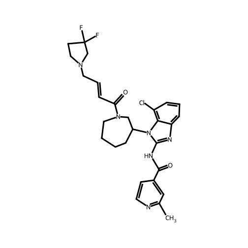 Cc1cc(C(=O)Nc2nc3cccc(Cl)c3n2C2CCCCN(C(=O)/C=C/CN3CCC(F)(F)C3)C2)ccn1